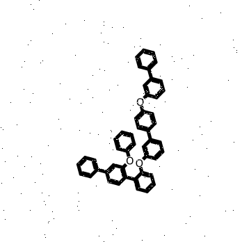 c1ccc(Oc2cc(-c3ccccc3)ccc2-c2ccccc2Oc2cccc(-c3ccc(Oc4cccc(-c5ccccc5)c4)cc3)c2)cc1